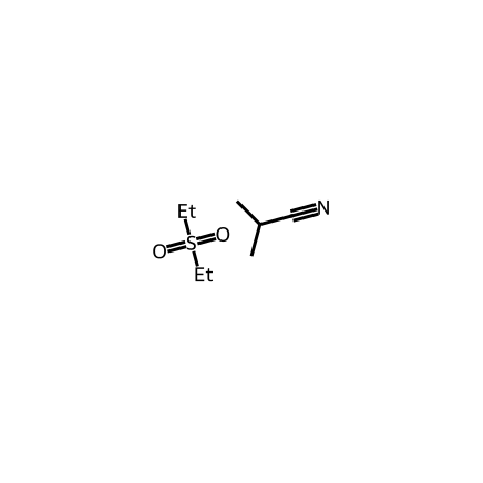 CC(C)C#N.CCS(=O)(=O)CC